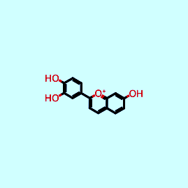 Oc1ccc2ccc(-c3ccc(O)c(O)c3)[o+]c2c1